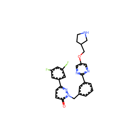 O=c1ccc(-c2cc(F)cc(F)c2)nn1Cc1cccc(-c2ncc(OCC3CCNC3)cn2)c1